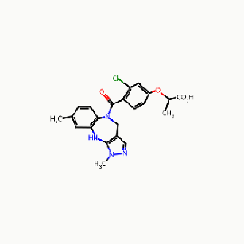 Cc1ccc2c(c1)Nc1c(cnn1C)CN2C(=O)c1ccc(OC(C)C(=O)O)cc1Cl